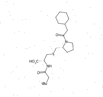 CC(C)(C)CC(=O)N[C@@H](CSC[C@H]1CCCN1C(=O)CC1CCCCC1)C(=O)O